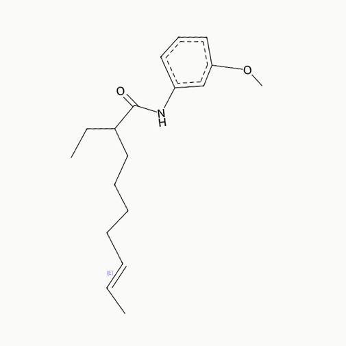 C/C=C/CCCCC(CC)C(=O)Nc1cccc(OC)c1